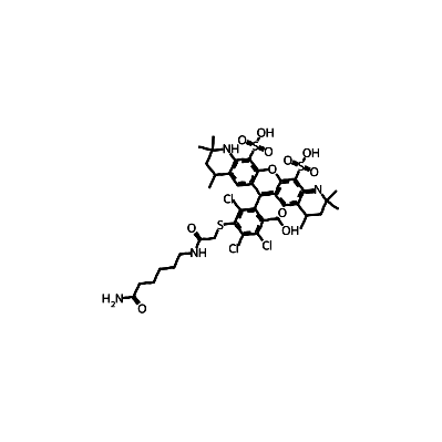 CC1CC(C)(C)Nc2c1cc1c(c2S(=O)(=O)O)Oc2c(S(=O)(=O)O)c3c(cc2=C1c1c(Cl)c(SCC(=O)NCCCCCC(N)=O)c(Cl)c(Cl)c1C(=O)O)C(C)CC(C)(C)N=3